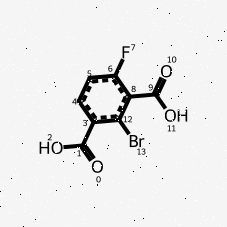 O=C(O)c1ccc(F)c(C(=O)O)c1Br